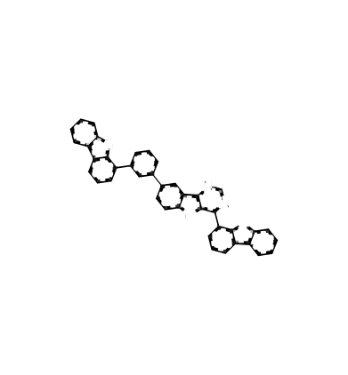 c1cc(-c2ccc3oc4c(-c5cccc6c5sc5ccccc56)ncnc4c3c2)cc(-c2cccc3c2sc2ccccc23)c1